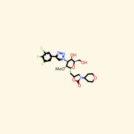 CO[C@@H]1[C@@H](n2cc(-c3cc(F)c(F)c(F)c3)nn2)[C@@H](O)[C@@H](CO)O[C@@H]1CC1CN(C2CCOCC2)C(=O)O1